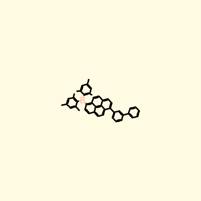 Cc1cc(C)c(B(c2c(C)cc(C)cc2C)c2ccc3ccc4c(-c5cccc(-c6ccccc6)c5)ccc5ccc2c3c54)c(C)c1